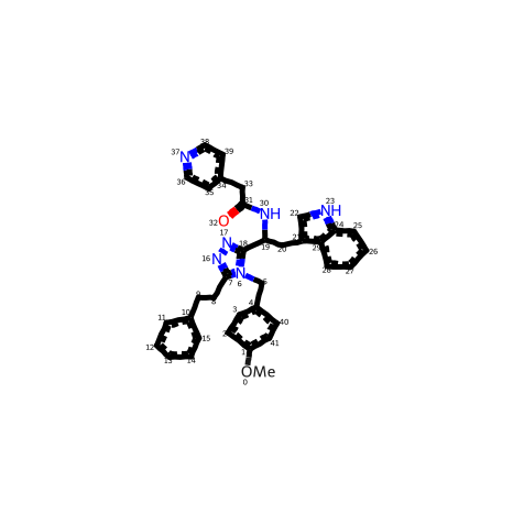 COc1ccc(Cn2c(CCc3ccccc3)nnc2C(Cc2c[nH]c3ccccc23)NC(=O)Cc2ccncc2)cc1